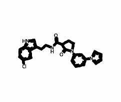 O=C(NCCc1c[nH]c2ccc(Cl)cc12)C1CCN(c2cccc(-n3cccc3)c2)C1=O